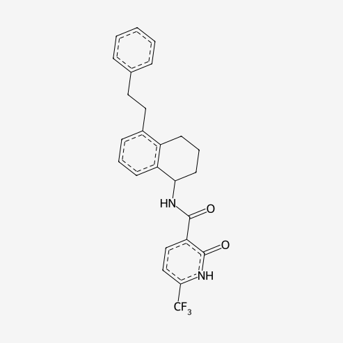 O=C(NC1CCCc2c(CCc3ccccc3)cccc21)c1ccc(C(F)(F)F)[nH]c1=O